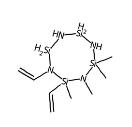 C=CN1[SiH2]N[SiH2]N[Si](C)(C)N(C)[Si]1(C)C=C